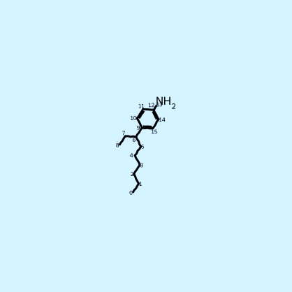 CCCCCCC(CC)c1ccc(N)cc1